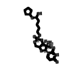 C[C@@]1(N)[C@@H]2O[P@](=O)(OCCCCC(O)OC3CCCC3)OCC2O[C@H]1n1ccc(=O)[nH]c1=O